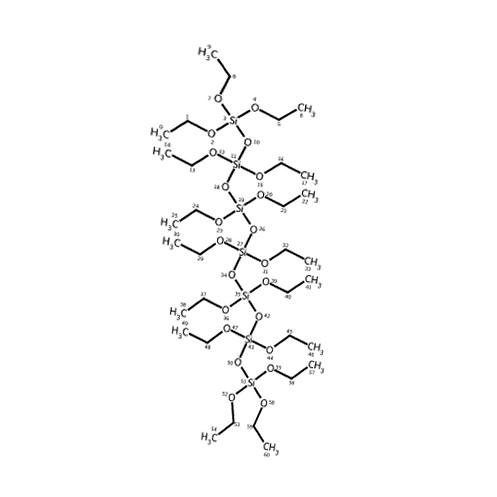 CCO[Si](OCC)(OCC)O[Si](OCC)(OCC)O[Si](OCC)(OCC)O[Si](OCC)(OCC)O[Si](OCC)(OCC)O[Si](OCC)(OCC)O[Si](OCC)(OCC)OCC